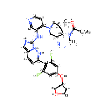 COC(=O)N(C)[C@@H]1[C@H](N)CN(c2ccncc2Nc2ncc3ccc(-c4c(F)cc(OC5CCOC5)cc4F)nn23)C[C@@H]1C